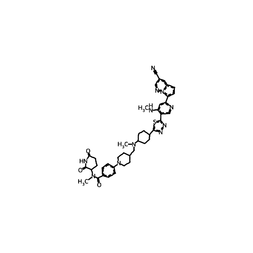 CNc1cc(-c2ccc3cc(C#N)cnn23)ncc1-c1nnc(C2CCC(N(C)CC3CCN(c4ccc(C(=O)N(C)C5CCC(=O)NC5=O)cc4)CC3)CC2)s1